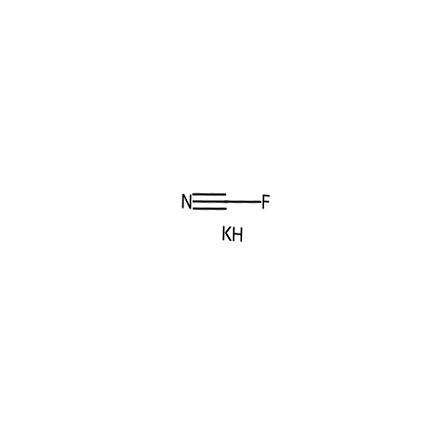 N#CF.[KH]